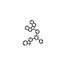 CC1(C)C2=C(C=CC=CC2)c2ccc(-c3nc(-c4ccccc4)nc(-c4cccc(-n5c6ccc7ccccc7c6c6c7ccccc7ccc65)c4)n3)cc21